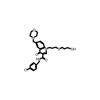 O=C(NCc1ccc(Cl)cc1)c1cn(CCCSCCCO)c2ccc(CN3CCOCC3)cc2c1=O